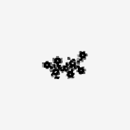 CC[C@H]1O[C@@H](OCC2=C[C@H](O[C@@H]3[C@@H](OCc4ccccc4)[C@H](OCc4ccccc4)[C@@H](COCc4ccccc4)O[C@H]3C)OC2)[C@H](OC(=O)c2ccccc2)[C@@H](OC(=O)c2ccccc2)[C@@H]1C